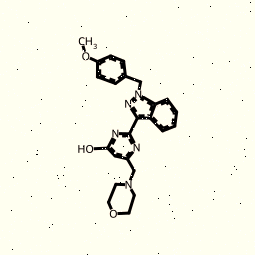 COc1ccc(Cn2nc(-c3nc(O)cc(CN4CCOCC4)n3)c3ccccc32)cc1